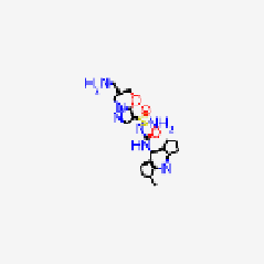 CC1CCc2c1nc1c(c2NC(=O)N=S(N)(=O)c2cnn3c2OCC(CN)C3)CCC1